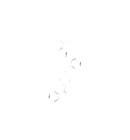 O=C(/C=C/c1ccccc1OC1CCN(C(=O)c2ccccc2)CC1)NO